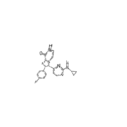 O=c1[nH]ccn2c(-c3ccnc(NC4CC4)n3)c(-c3ccc(F)cc3)nc12